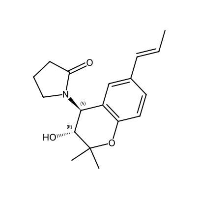 CC=Cc1ccc2c(c1)[C@H](N1CCCC1=O)[C@@H](O)C(C)(C)O2